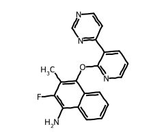 Cc1c(F)c(N)c2ccccc2c1Oc1ncccc1-c1ccncn1